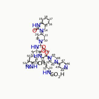 Cc1cc(C[C@@H](NC(=O)N2CCC(N3Cc4ccccc4NC3=O)CC2)C(=O)N[C@@H](CCCCNC(=O)O)C(=O)N2CCN(c3ccncc3)CC2)cc2cn[nH]c12